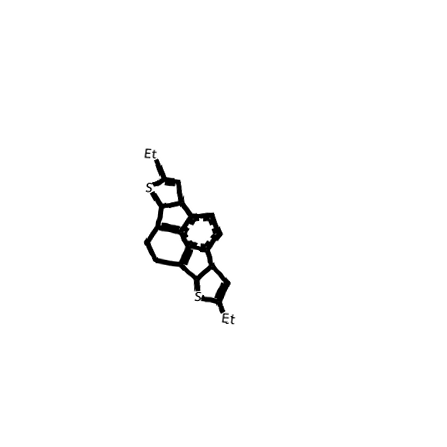 CCC1=CC2c3ccc4c5c3=C(CCC=5C3SC(CC)=CC43)C2S1